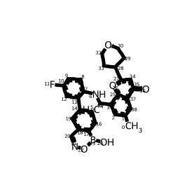 Cc1cc([C@@H](C)Nc2ccc(F)cc2-c2ccc3c(c2)C=NOB3O)c2oc(C3CCOCC3)cc(=O)c2c1